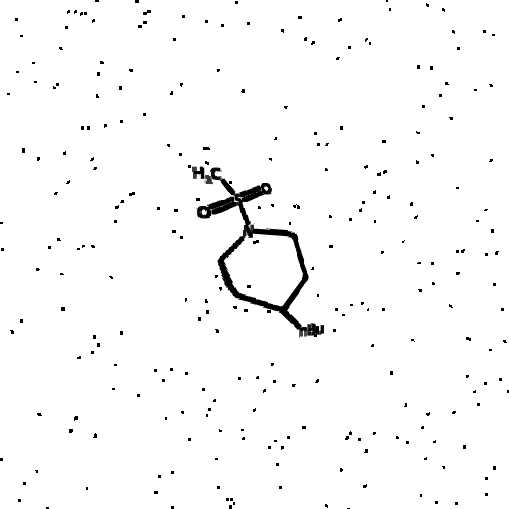 CCCCC1CCN(S(C)(=O)=O)CC1